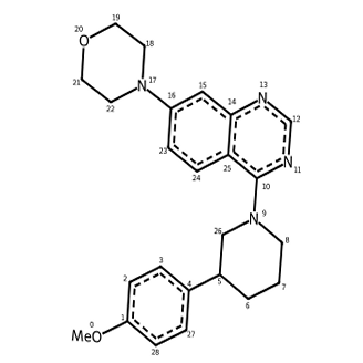 COc1ccc(C2CCCN(c3ncnc4cc(N5CCOCC5)ccc34)C2)cc1